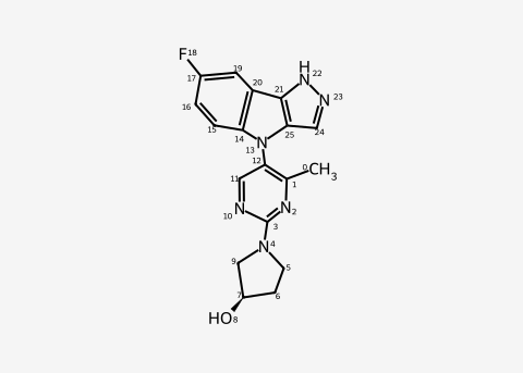 Cc1nc(N2CC[C@@H](O)C2)ncc1-n1c2ccc(F)cc2c2[nH]ncc21